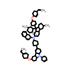 C=CC1=CCC(OC2CCC3C(C2)C2C=C(C4CCC(N(C5C=CC6C=CC=CC6C5)C5CCC6C7CC(C)CCC7C(C7=CCC(OC8C=CC(C=C)CC8)CC7)(C7CC(C)CCC7C)C6C5)CC4)CCC2N3C2CC=CCC2)CC1